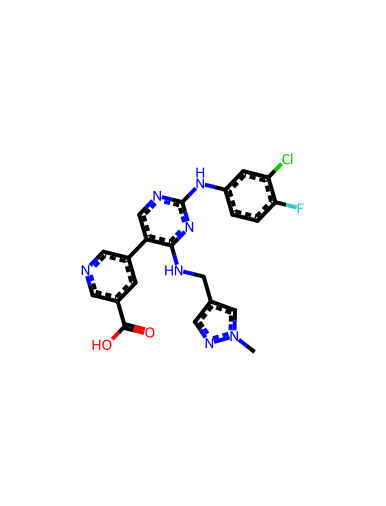 Cn1cc(CNc2nc(Nc3ccc(F)c(Cl)c3)ncc2-c2cncc(C(=O)O)c2)cn1